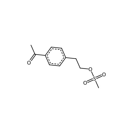 CC(=O)c1ccc(CCOS(C)(=O)=O)cc1